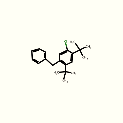 CC(C)(C)c1cc(C(C)(C)C)c(Cc2ccccc2)cc1Cl